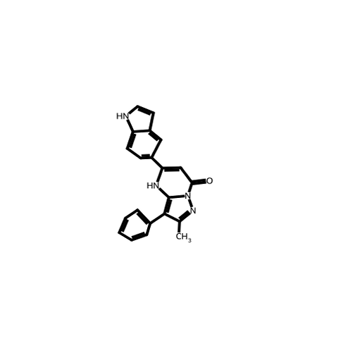 Cc1nn2c(=O)cc(-c3ccc4[nH]ccc4c3)[nH]c2c1-c1ccccc1